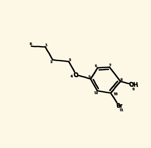 CCCCOc1ccc(O)c(Br)c1